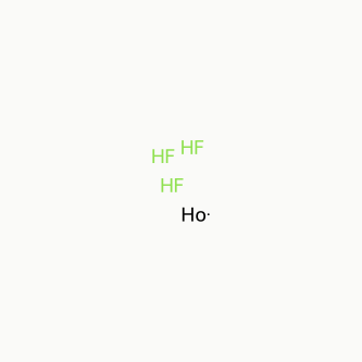 F.F.F.[Ho]